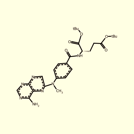 CN(c1ccc(C(=O)N[C@@H](CCC(=O)OC(C)(C)C)C(=O)OC(C)(C)C)cc1)c1cnc2ncnc(N)c2n1